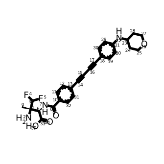 C[C@@](N)(C(F)F)[C@H](NC(=O)c1ccc(C#CC#Cc2ccc(NC3CCOCC3)cc2)cc1)C(=O)O